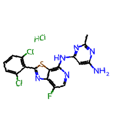 Cc1nc(N)cc(Nc2ncc(F)c3nc(-c4c(Cl)cccc4Cl)sc23)n1.Cl